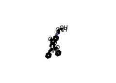 O=C(/C=C/c1ccc2c(c1)C(=O)CC1(CCN(CCc3ccccc3)C(C(=O)Nc3ccccc3)C1)O2)NO